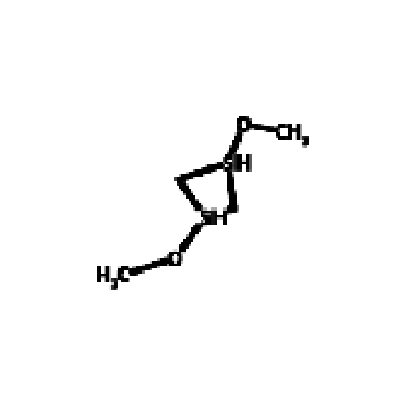 CO[SiH]1C[SiH](OC)C1